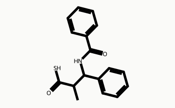 CC(C(=O)S)C(NC(=O)c1ccccc1)c1ccccc1